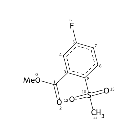 COC(=O)c1cc(F)ccc1S(C)(=O)=O